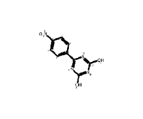 O=[N+]([O-])c1ccc(-c2nc(O)nc(O)n2)cc1